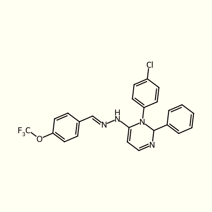 FC(F)(F)Oc1ccc(C=NNC2=CC=NC(c3ccccc3)N2c2ccc(Cl)cc2)cc1